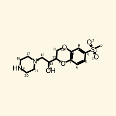 CS(=O)(=O)c1ccc2c(c1)OCC(C(O)CN1CCNCC1)O2